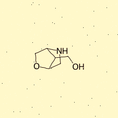 OCC1C2COC1CN2